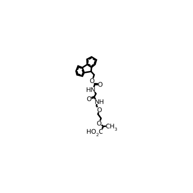 CC(OCCOCNC(=O)CNC(=O)OCC1c2ccccc2-c2ccccc21)C(=O)O